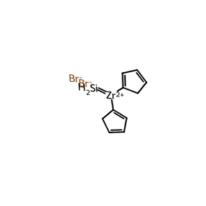 [Br-].[Br-].[SiH2]=[Zr+2]([C]1=CC=CC1)[C]1=CC=CC1